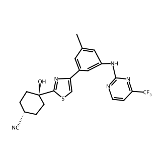 Cc1cc(Nc2nccc(C(F)(F)F)n2)cc(-c2csc([C@]3(O)CC[C@H](C#N)CC3)n2)c1